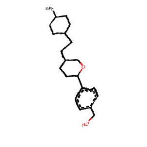 CCCC1CCC(CCC2CCC(c3ccc(CO)cc3)OC2)CC1